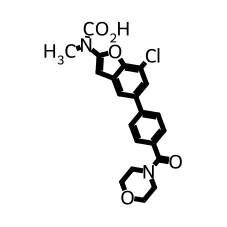 CN(C(=O)O)c1cc2cc(-c3ccc(C(=O)N4CCOCC4)cc3)cc(Cl)c2o1